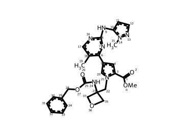 COC(=O)c1cc(-c2nc(Nc3ccnn3C)ncc2C)cn1CC1(NC(=O)OCc2ccccc2)COC1